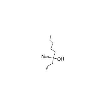 C=CCC(O)(C#N)CCCCC